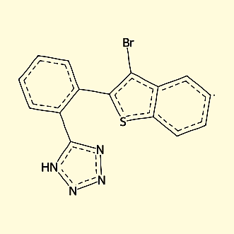 Brc1c(-c2ccccc2-c2nnn[nH]2)sc2cc[c]cc12